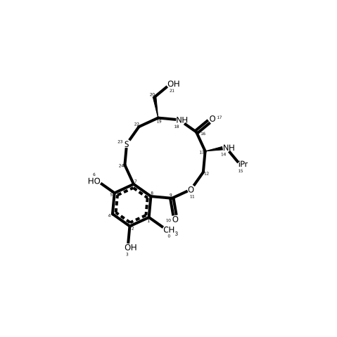 Cc1c(O)cc(O)c2c1C(=O)OC[C@H](NC(C)C)C(=O)N[C@H](CO)CSC2